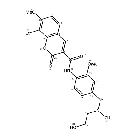 CCc1c(OC)ccc2cc(C(=O)Nc3ccc(CN(C)CCO)cc3OC)c(=O)oc12